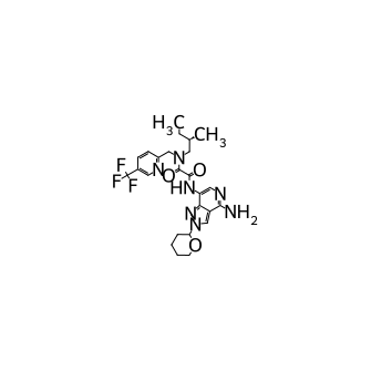 CC[C@@H](C)CN(Cc1ccc(C(F)(F)F)cn1)C(=O)C(=O)Nc1cnc(N)c2cn(C3CCCCO3)nc12